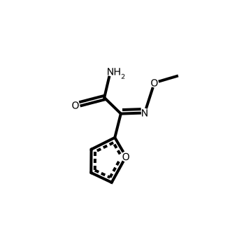 CO/N=C(\C(N)=O)c1ccco1